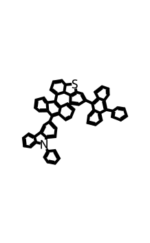 C1=CC2Sc3cc(-c4c5ccccc5c(-c5ccccc5)c5ccccc45)ccc3C2C(c2c3ccccc3c(-c3ccc4c(c3)c3ccccc3n4-c3ccccc3)c3ccccc23)=C1